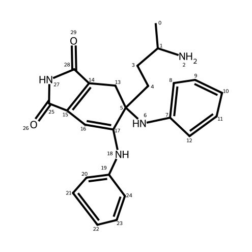 CC(N)CCC1(Nc2ccccc2)CC2=C(C=C1Nc1ccccc1)C(=O)NC2=O